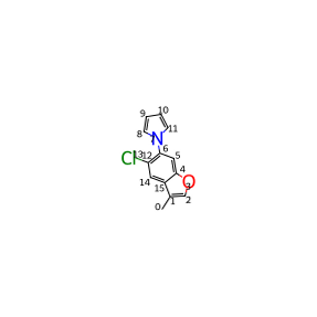 Cc1coc2cc(-n3cccc3)c(Cl)cc12